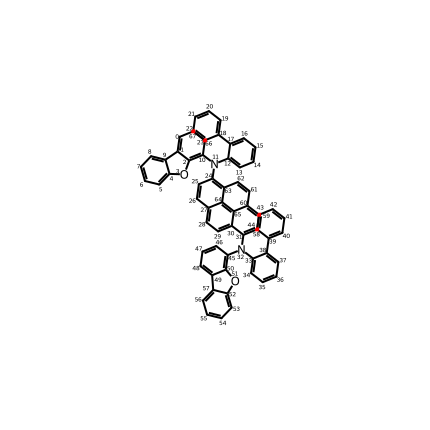 C1=c2c(oc3ccccc23)=C(N(c2ccccc2-c2ccccc2)c2ccc3ccc4c(N(c5ccccc5-c5ccccc5)c5cccc6c5oc5ccccc56)ccc5ccc2c3c54)CC1